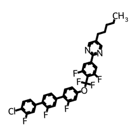 CCCCCc1cnc(-c2cc(F)c(C(F)(F)Oc3ccc(-c4ccc(-c5ccc(Cl)c(F)c5)c(F)c4)c(F)c3)c(F)c2)nc1